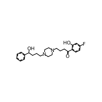 O=C(CCCN1CCN(CCCC(O)c2ccccc2)CC1)c1ccc(F)cc1O